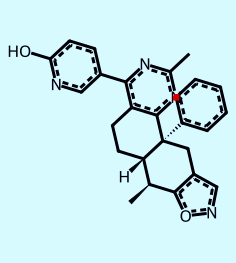 Cc1nc(-c2ccc(O)nc2)c2c(n1)[C@@]1(c3ccccc3)Cc3cnoc3[C@@H](C)[C@@H]1CC2